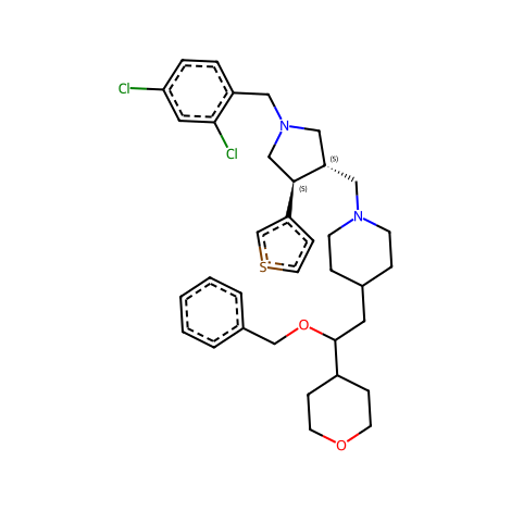 Clc1ccc(CN2C[C@H](CN3CCC(CC(OCc4ccccc4)C4CCOCC4)CC3)[C@@H](c3ccsc3)C2)c(Cl)c1